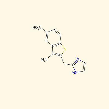 Cc1c(Cc2ncc[nH]2)sc2ccc(C(=O)O)cc12